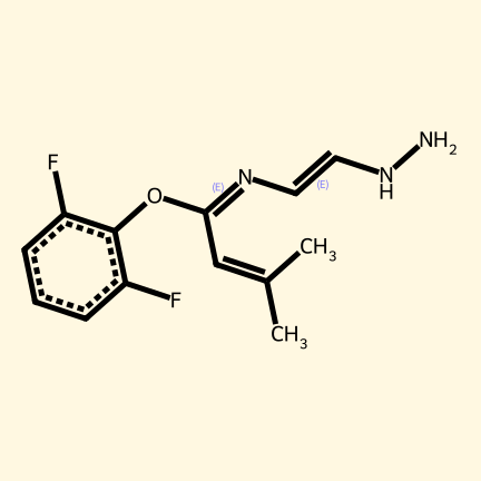 CC(C)=C/C(=N\C=C\NN)Oc1c(F)cccc1F